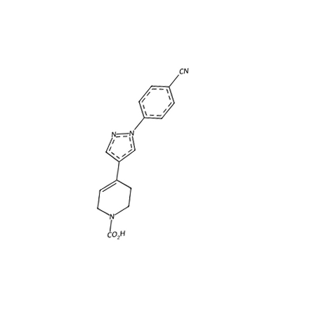 N#Cc1ccc(-n2cc(C3=CCN(C(=O)O)CC3)cn2)cc1